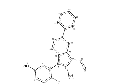 Cc1ccc(O)cc1-n1c(N)c(C=O)c2nc(-c3ncccn3)ccc21